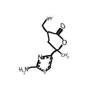 CC(C)CC1CC(C)(c2csc(N)n2)OC1=O